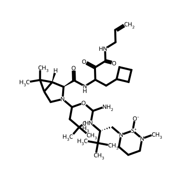 C=CCNC(=O)C(=O)C(CC1CCC1)NC(=O)[C@@H]1[C@@H]2C(CN1C(CC(C)(C)C)OC(N)N[C@H](CN1CCCN(C)[S+]1[O-])C(C)(C)C)C2(C)C